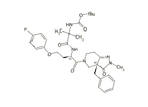 CN1N=C2CCN(C(=O)[C@@H](CCOc3ccc(F)cc3)NC(=O)C(C)(C)NC(=O)OC(C)(C)C)C[C@@]2(Cc2ccccc2)C1=O